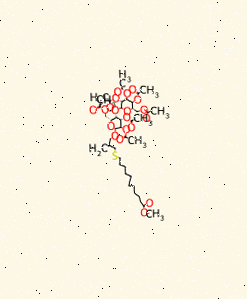 C=C(CO[C@H]1O[C@H](COC(C)=O)[C@H](O[C@@H]2O[C@H](COC(C)=O)[C@H](OC(C)=O)[C@H](OC(C)=O)[C@H]2OC(C)=O)[C@H](OC(C)=O)[C@H]1OC(C)=O)CSCCCCCCCCCCC(=O)OC